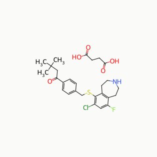 CC(C)(C)CC(=O)c1ccc(CSc2c(Cl)cc(F)c3c2CCNCC3)cc1.O=C(O)CCC(=O)O